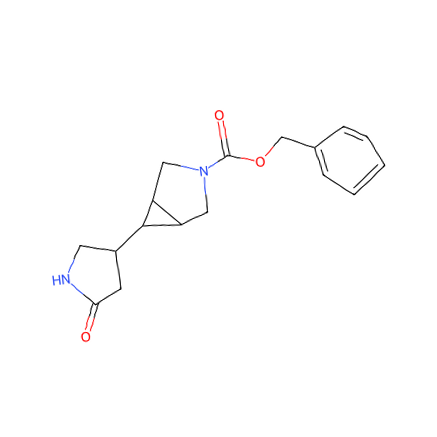 O=C1CC(C2C3CN(C(=O)OCc4ccccc4)CC32)CN1